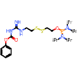 CC(C)N(C(C)C)P(OCCSSCCNC(=N)NC(=O)Oc1ccccc1)N(C(C)C)C(C)C